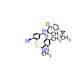 Cc1cc2nn(C)c(F)c2cc1-n1c(-c2ccc(C#N)c(F)c2)nc(C(=O)N2CC[C@H](C3CC3C)C2)c1C